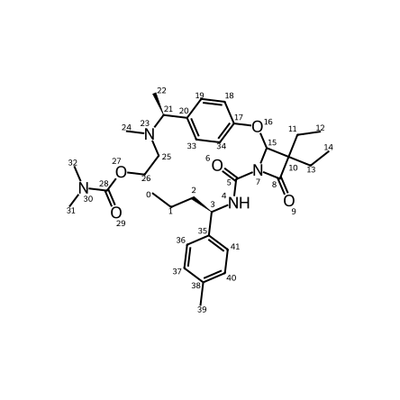 CCC[C@@H](NC(=O)N1C(=O)C(CC)(CC)C1Oc1ccc([C@H](C)N(C)CCOC(=O)N(C)C)cc1)c1ccc(C)cc1